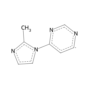 Cc1nccn1-c1c[c]ncn1